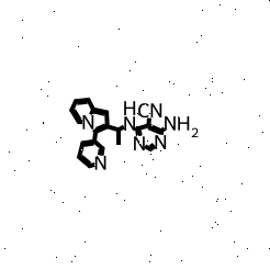 CC(Nc1ncnc(N)c1C#N)c1cc2ccccn2c1-c1cccnc1